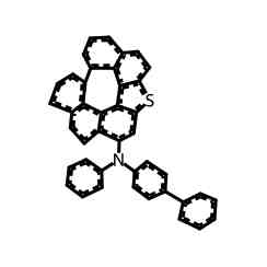 c1ccc(-c2ccc(N(c3ccccc3)c3cc4sc5ccc6cccc7c6c5c4c4c3ccc3cccc-7c34)cc2)cc1